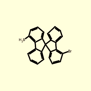 Bc1cccc2c1-c1ccccc1C21c2ccccc2-c2c(Br)cccc21